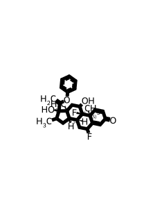 C=C(Oc1ccccc1)[C@@]1(O)C(C)C[C@H]2[C@@H]3CC(F)C4=CC(=O)C=C[C@]4(C)[C@@]3(F)C(O)C[C@@]21C